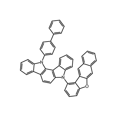 c1ccc(-c2ccc(-n3c4ccccc4c4ccc5c(c6ccccc6n5-c5cccc6oc7cc8ccccc8cc7c56)c43)cc2)cc1